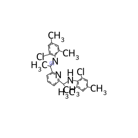 C/C(=N\c1c(C)cc(C)cc1Cl)c1cccc(C(C)Nc2c(C)cc(C)cc2Cl)n1